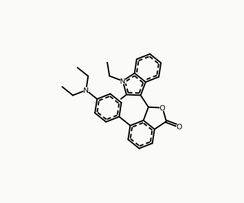 CCN(CC)c1ccc(-c2cccc3c2C(c2c(C)n(CC)c4ccccc24)OC3=O)cc1